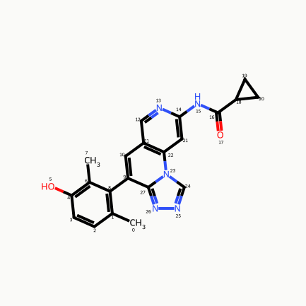 Cc1ccc(O)c(C)c1-c1cc2cnc(NC(=O)C3CC3)cc2n2cnnc12